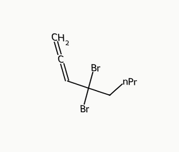 C=C=CC(Br)(Br)CCCC